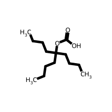 CCCCC(CCCC)(CCCC)OC(=O)O